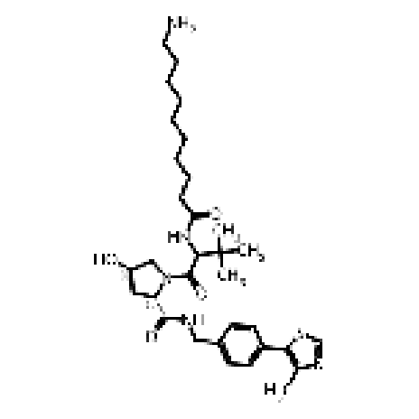 Cc1ncsc1-c1ccc(CNC(=O)[C@@H]2C[C@@H](O)CN2C(=O)C(NC(=O)CCCCCCCCCN)C(C)(C)C)cc1